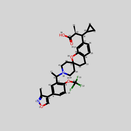 Cc1nocc1-c1ccc(OC(F)(F)F)c(C(C)N2CCC3(CCc4ccc(C(C5CC5)[C@H](C)C(=O)O)cc4O3)CC2)c1